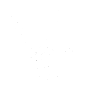 CCCCCCCCCCOC(=O)/C(CCCCCCCC)=C(\C(=O)OCCCCCCCCCC)C1=CC=C(C(C)C2OCCO2)CC1